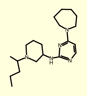 CCCC(C)N1CCCC(Nc2nccc(N3CCCCCC3)n2)C1